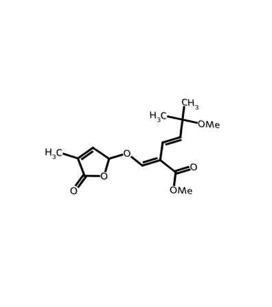 COC(=O)C(/C=C/C(C)(C)OC)=C/OC1C=C(C)C(=O)O1